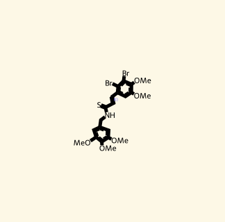 COc1cc(CNC(=S)/C=C/c2cc(OC)c(OC)c(Br)c2Br)cc(OC)c1OC